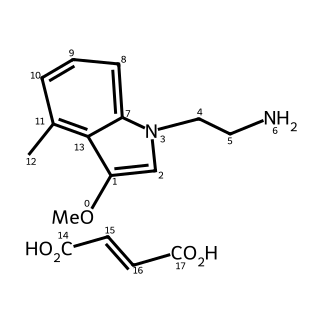 COc1cn(CCN)c2cccc(C)c12.O=C(O)C=CC(=O)O